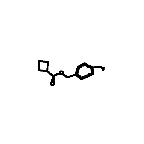 O=C(OCc1ccc(CF)cc1)C1CCC1